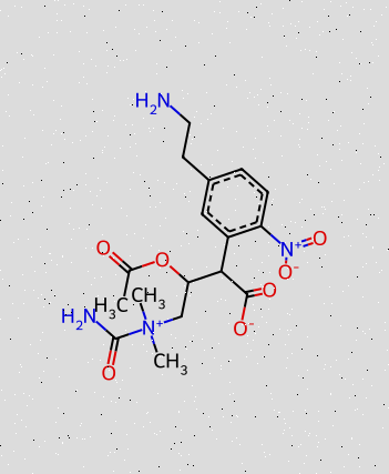 CC(=O)OC(C[N+](C)(C)C(N)=O)C(C(=O)[O-])c1cc(CCN)ccc1[N+](=O)[O-]